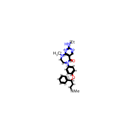 CCNc1ncc2c(n1)N(C)CCN(c1ccc(OC(CCNC)c3ccccc3)cc1)C2=O